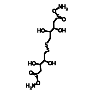 NOS(=O)C[C@@H](O)[C@H](O)CSSC[C@@H](O)[C@H](O)CS(=O)ON